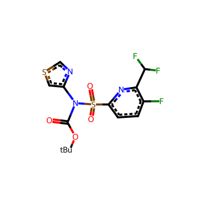 CC(C)(C)OC(=O)N(c1cscn1)S(=O)(=O)c1ccc(F)c(C(F)F)n1